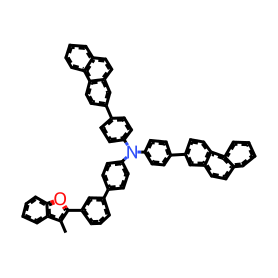 Cc1c(-c2cccc(-c3ccc(N(c4ccc(-c5ccc6c(ccc7ccccc76)c5)cc4)c4ccc(-c5ccc6c(ccc7ccccc76)c5)cc4)cc3)c2)oc2ccccc12